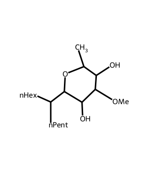 CCCCCCC(CCCCC)C1OC(C)C(O)C(OC)C1O